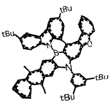 Cc1c2ccccc2c(C)c2cc3c(cc12)B1c2c(cc4oc5ccccc5c4c2-c2cc(C(C)(C)C)cc4c5cc(C(C)(C)C)ccc5n1c24)N3c1cc(C(C)(C)C)cc(C(C)(C)C)c1